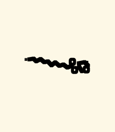 [CH2]CCCCCCCCCCC(=O)OC1C[CH]COC1